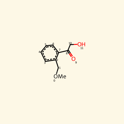 COCc1ccccc1C(=O)CO